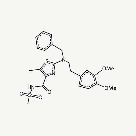 COc1ccc(CCN(Cc2ccccc2)c2nc(C(=O)NS(C)(=O)=O)c(C)s2)cc1OC